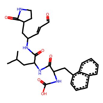 CC(C)CC(NC(=O)C(Cc1cccc2ccccc12)NC(=O)O)C(=O)NC(/C=C/C=O)CC1CCNC1=O